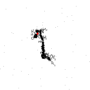 Cc1nc(NC(=O)c2ccccc2NC(=O)CCCCCCCCCCCNCCNC(=O)C[C@@H]2N=C(c3ccc(Cl)cc3)c3c(sc(C)c3C)-n3c(C)nnc32)sc1C